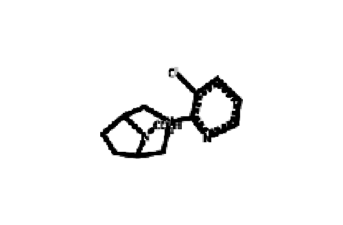 O=C(O)N1C2CCC1CN(c1ncccc1Cl)C2